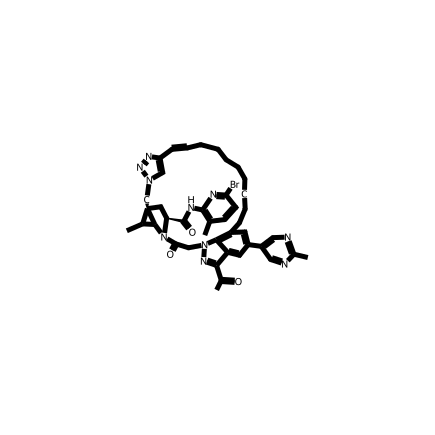 CC(=O)c1nn2c3c(cc(-c4cnc(C)nc4)cc13)CCCCCCCC/C=C\c1cn(nn1)C[C@@]13C[C@@H](C(=O)Nc4nc(Br)ccc4C)N(C(=O)C2)C1C3C